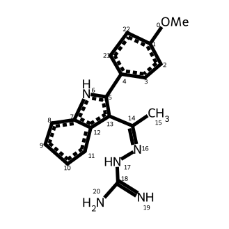 COc1ccc(-c2[nH]c3ccccc3c2/C(C)=N\NC(=N)N)cc1